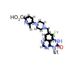 CCN1C(=O)Nc2c(F)c(CN3CCN(c4ccc(C(=O)O)nc4C)CC3)cc3ncnc1c23